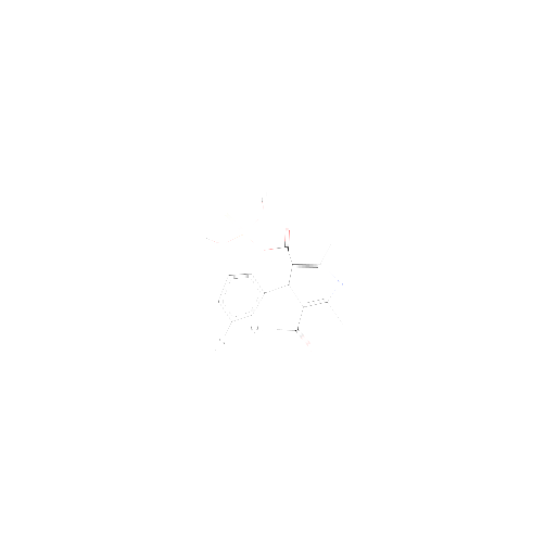 CCOP(=S)(OCC)OC(=O)C1=C(C)NC(C)=C(C(=O)OC)C1c1cccc([N+](=O)[O-])c1